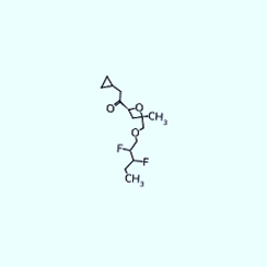 CCC(F)C(F)COC[C@]1(C)C[C@@H](C(=O)CC2CC2)O1